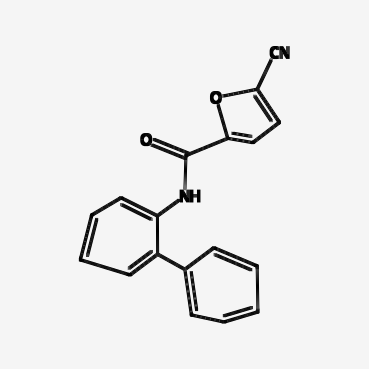 N#Cc1ccc(C(=O)Nc2ccccc2-c2ccccc2)o1